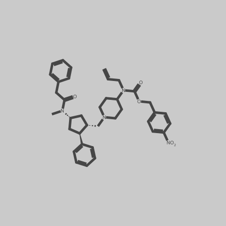 C=CCN(C(=O)OCc1ccc([N+](=O)[O-])cc1)C1CCN(C[C@H]2C[C@@H](N(C)C(=O)Cc3ccccc3)C[C@@H]2c2ccccc2)CC1